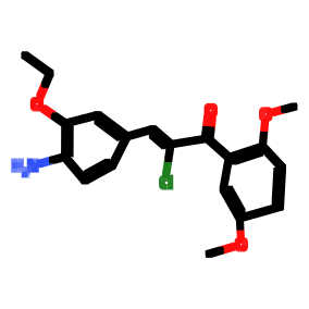 CCOc1cc(C=C(Cl)C(=O)c2cc(OC)ccc2OC)ccc1N